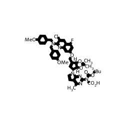 COc1ccc(CN(Cc2ccc(OC)cc2)c2nc3cc(OCC4=C[C@@H](n5ccc6c(C)nc(N(C(=O)O)C(=O)OC(C)(C)C)nc65)[C@@H]5OC(C)(C)O[C@H]45)cc(F)c3cc2Cl)cc1